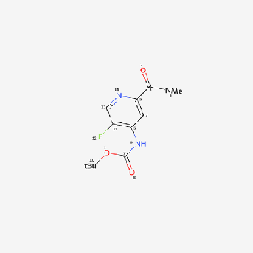 CNC(=O)c1cc(NC(=O)OC(C)(C)C)c(F)cn1